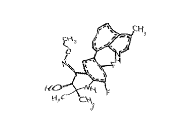 CCO/N=C1\c2cc(-c3cccc4c(C)c[nH]c34)c(F)c(F)c2NC(C)(C)C1O